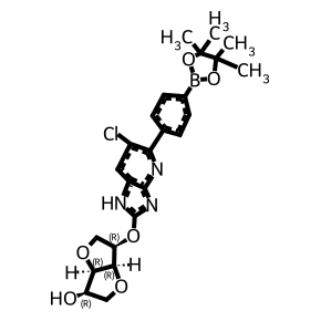 CC1(C)OB(c2ccc(-c3nc4nc(O[C@@H]5CO[C@H]6[C@@H]5OC[C@H]6O)[nH]c4cc3Cl)cc2)OC1(C)C